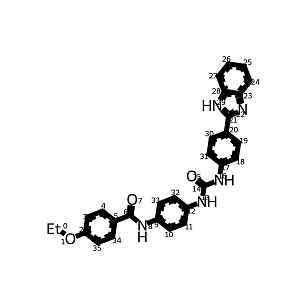 CCOc1ccc(C(=O)Nc2ccc(NC(=O)Nc3ccc(-c4nc5ccccc5[nH]4)cc3)cc2)cc1